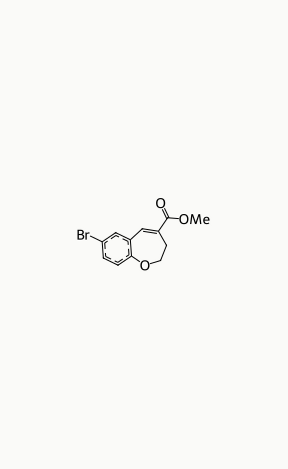 COC(=O)C1=Cc2cc(Br)ccc2OCC1